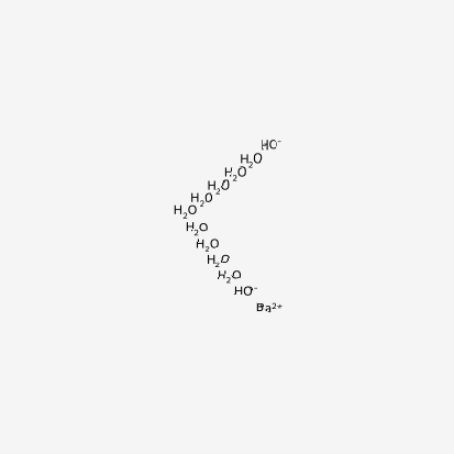 O.O.O.O.O.O.O.O.O.[Ba+2].[OH-].[OH-]